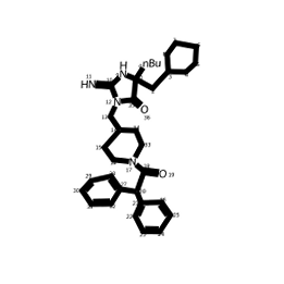 CCCCC1(CC2CCCCC2)NC(=N)N(CC2CCN(C(=O)C(c3ccccc3)c3ccccc3)CC2)C1=O